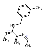 C=C(/N=C\C)/C(=N\C)NCc1cccc(C)c1